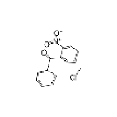 CCl.O=C(c1ccccc1)c1ccccc1[N+](=O)[O-]